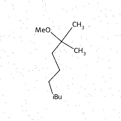 CCC(C)CCCC(C)(C)OC